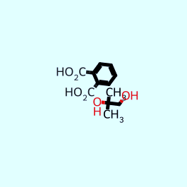 CC(C)(O)CO.O=C(O)c1ccccc1C(=O)O